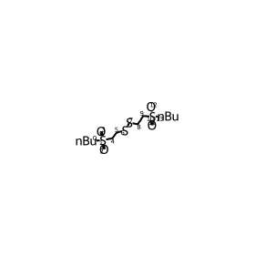 CCCCS(=O)(=O)CCSSCCS(=O)(=O)CCCC